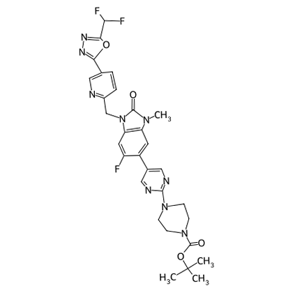 Cn1c(=O)n(Cc2ccc(-c3nnc(C(F)F)o3)cn2)c2cc(F)c(-c3cnc(N4CCN(C(=O)OC(C)(C)C)CC4)nc3)cc21